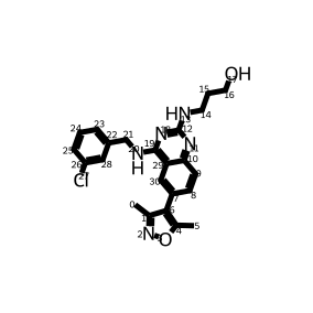 Cc1noc(C)c1-c1ccc2nc(NCCCO)nc(NCc3cccc(Cl)c3)c2c1